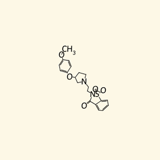 COc1ccc(OC2CCN(CCN3C(=O)c4ccccc4S3(=O)=O)C2)cc1